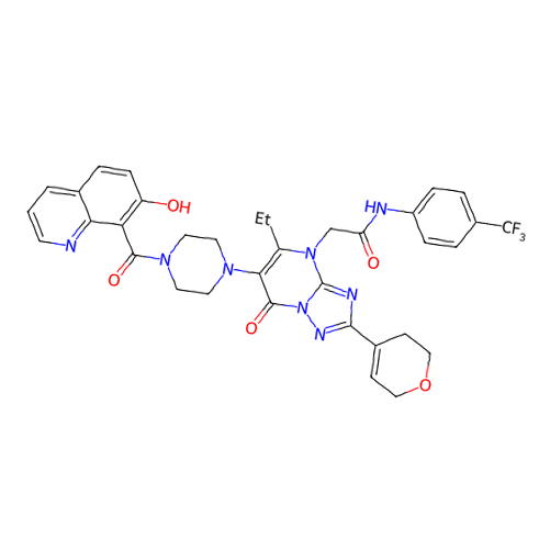 CCc1c(N2CCN(C(=O)c3c(O)ccc4cccnc34)CC2)c(=O)n2nc(C3=CCOCC3)nc2n1CC(=O)Nc1ccc(C(F)(F)F)cc1